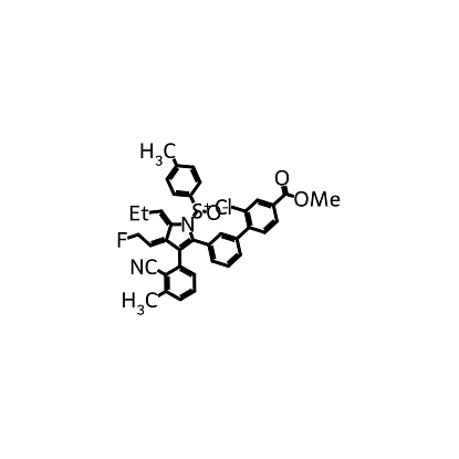 CC/C=c1\c(=C/CF)c(-c2cccc(C)c2C#N)c(-c2cccc(-c3ccc(C(=O)OC)cc3Cl)c2)n1[S+]([O-])c1ccc(C)cc1